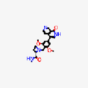 CNC(=O)[C@H]1CCN1Cc1c(OC)cc(-c2c[nH]c(=O)c3cnccc23)cc1OC